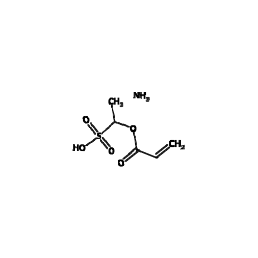 C=CC(=O)OC(C)S(=O)(=O)O.N